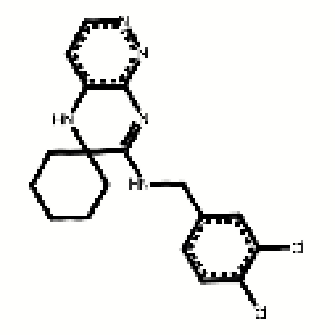 Clc1ccc(CNC2=Nc3nnccc3NC23CCCCC3)cc1Cl